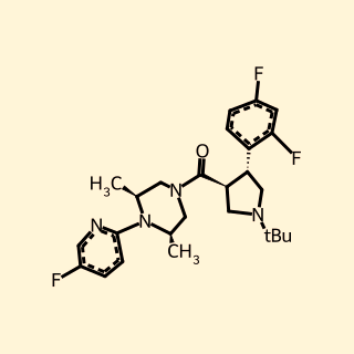 C[C@@H]1CN(C(=O)[C@@H]2CN(C(C)(C)C)C[C@H]2c2ccc(F)cc2F)C[C@H](C)N1c1ccc(F)cn1